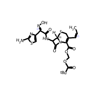 C/C=C\C1=C(C(=O)OCOC(=O)C(C)(C)C)N2C(=O)C(NC(=O)/C(=N\O)c3csc(N)n3)[C@@H]2SC1